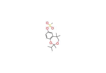 CC(C)C1(C)OCC(C)(C)c2cc(OS(C)(=O)=O)ccc2O1